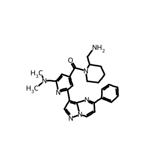 CN(C)c1cc(C(=O)N2CCCCC2CN)cc(-c2cnn3ccc(-c4ccccc4)nc23)n1